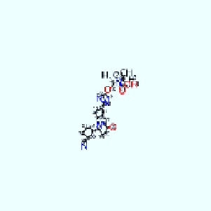 CC(C)(C)N(CCOc1cnc(-c2cccc(Cn3nc(-c4cccc(C#N)c4)ccc3=O)c2)nc1)C(=O)O